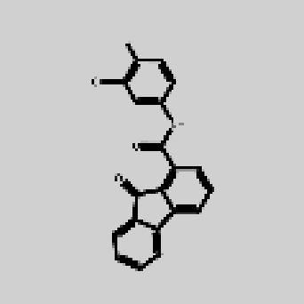 O=C(Nc1ccc(F)c(Cl)c1)c1cccc2c1C(=O)c1ccccc1-2